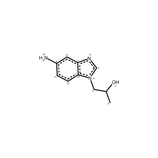 CC(O)Cn1cnc2cc(N)ccc21